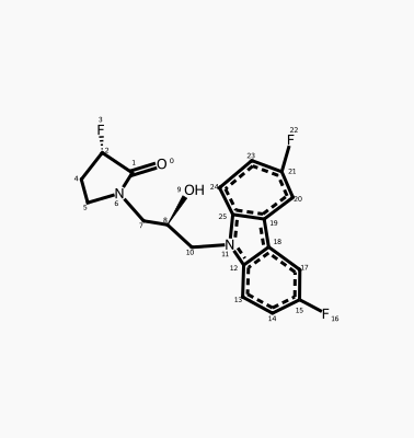 O=C1[C@@H](F)CCN1C[C@@H](O)Cn1c2ccc(F)cc2c2cc(F)ccc21